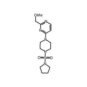 COCc1nccc(N2CCN(S(=O)(=O)N3CCCC3)CC2)n1